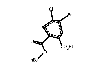 CCCCOC(=O)c1cc(Cl)c(Br)cc1C(=O)OCC